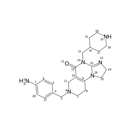 Nc1ccc(CN2CCC3=C(C2)C(=O)N(CC2CCNCC2)C2=NCCN23)cc1